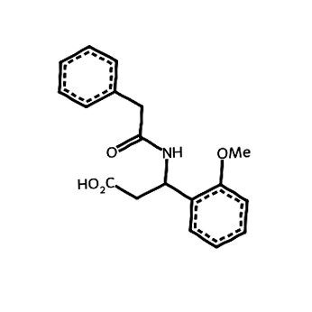 COc1ccccc1C(CC(=O)O)NC(=O)Cc1ccccc1